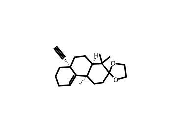 C#C[C@@]12CCCC=C1[C@]1(C)CCC3(OCCO3)C(C)(C)[C@@H]1CC2